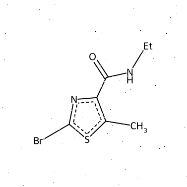 CCNC(=O)c1nc(Br)sc1C